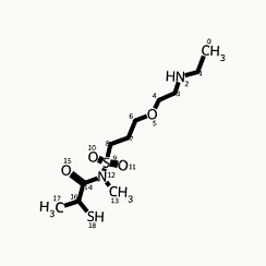 CCNCCOCCCS(=O)(=O)N(C)C(=O)C(C)S